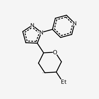 CCC1[CH]CC(c2ccnn2-c2ccncc2)OC1